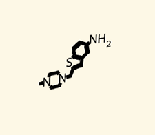 CN1CCN(Cc2cc3cc(N)ccc3s2)CC1